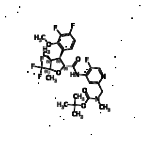 COc1c([C@H]2[C@H](C(=O)Nc3cc(CN(C)C(=O)OC(C)(C)C)ncc3F)O[C@@](C)(C(F)(F)F)[C@H]2C)ccc(F)c1F